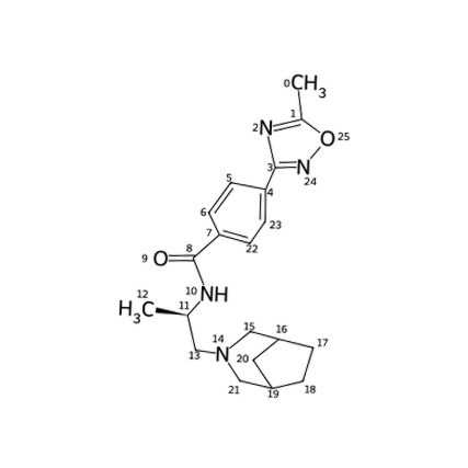 Cc1nc(-c2ccc(C(=O)N[C@H](C)CN3CC4CCC(C4)C3)cc2)no1